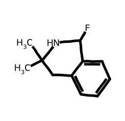 CC1(C)Cc2ccccc2C(F)N1